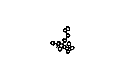 c1ccc(-c2ccc(N(c3ccc(-c4cccc(-c5cccc6ccccc56)c4)cc3)c3ccc4c(c3)C(c3ccccc3)(c3ccccc3)c3ccccc3-4)c3c2oc2ccccc23)cc1